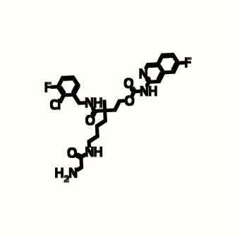 CC(CCCCNC(=O)CN)(CCOC(=O)Nc1cc2cc(F)ccc2cn1)C(=O)NCc1cccc(F)c1Cl